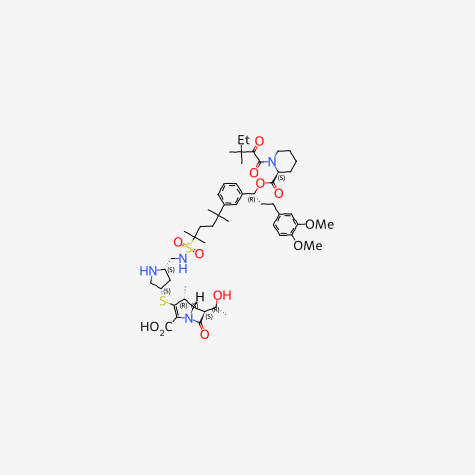 CCC(C)(C)C(=O)C(=O)N1CCCC[C@H]1C(=O)O[C@H](CCc1ccc(OC)c(OC)c1)c1cccc(C(C)(C)CCC(C)(C)S(=O)(=O)NC[C@@H]2C[C@H](SC3=C(C(=O)O)N4C(=O)[C@H]([C@@H](C)O)[C@H]4[C@H]3C)CN2)c1